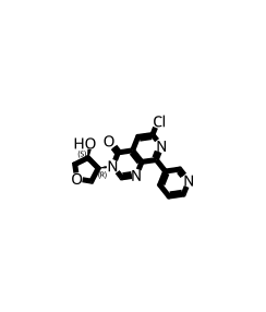 O=c1c2cc(Cl)nc(-c3cccnc3)c2ncn1[C@@H]1COC[C@H]1O